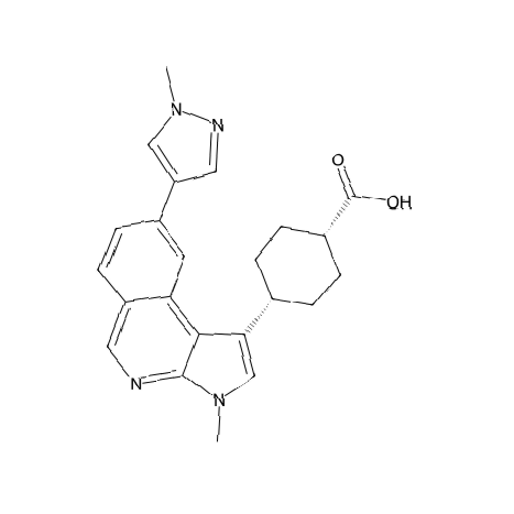 Cn1cc(-c2ccc3cnc4c(c3c2)c([C@H]2CC[C@@H](C(=O)O)CC2)cn4C)cn1